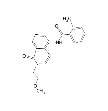 COCCn1ccc2c(NC(=O)c3ccccc3C)cccc2c1=O